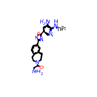 CCCNc1ncc(-c2nc(-c3ccc4c(c3)CCN(C(=O)CN)CC4)no2)cc1N